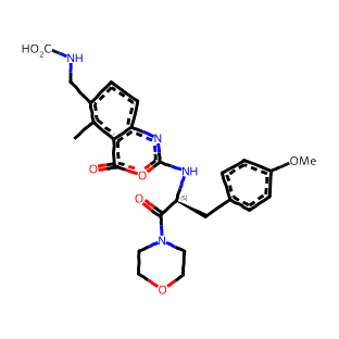 COc1ccc(C[C@H](Nc2nc3ccc(CNC(=O)O)c(C)c3c(=O)o2)C(=O)N2CCOCC2)cc1